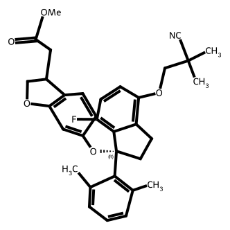 COC(=O)CC1COc2cc(O[C@@]3(c4c(C)cccc4C)CCc4c(OCC(C)(C)C#N)ccc(F)c43)ccc21